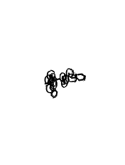 CC(OS(=O)(=O)CCCCS(=O)(=O)OC(C)C(=O)OC1CCCCC1)C(=O)OC1CCCCC1